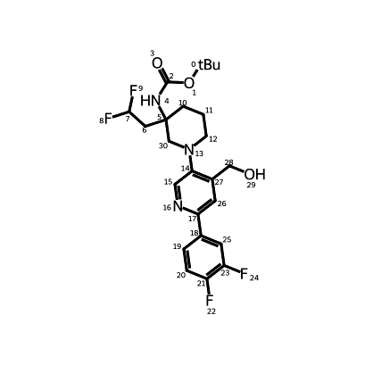 CC(C)(C)OC(=O)NC1(CC(F)F)CCCN(c2cnc(-c3ccc(F)c(F)c3)cc2CO)C1